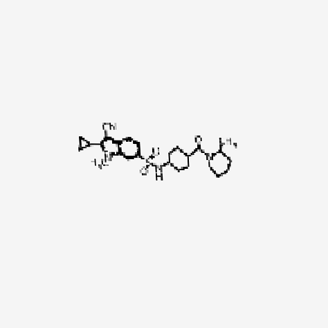 CC1CCCCN1C(=O)C1CCC(NS(=O)(=O)c2ccc3c(C#N)c(C4CC4)n(C)c3c2)CC1